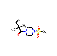 CC(C)CC(C)(C)C(=O)N1CCN(S(C)(=O)=O)CC1